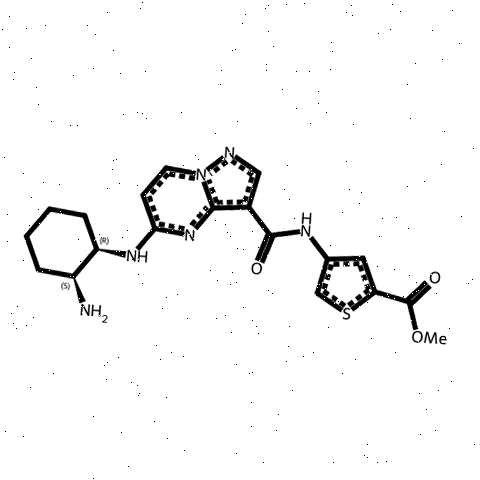 COC(=O)c1cc(NC(=O)c2cnn3ccc(N[C@@H]4CCCC[C@@H]4N)nc23)cs1